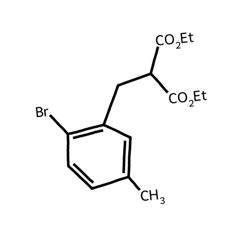 CCOC(=O)C(Cc1cc(C)ccc1Br)C(=O)OCC